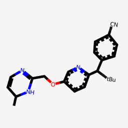 CC1C=CN=C(COc2ccc(C(c3ccc(C#N)cc3)C(C)(C)C)nc2)N1